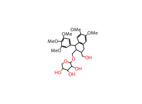 COc1cc2c(cc1OC)C(c1cc(OC)c(OC)c(OC)c1)C(COC1OCC(O)C(O)C1O)C(CO)C2